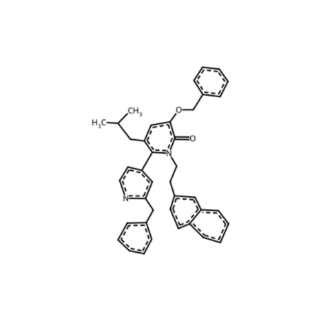 CC(C)Cc1cc(OCc2ccccc2)c(=O)n(CCc2ccc3ccccc3c2)c1-c1ccnc(Cc2ccccc2)c1